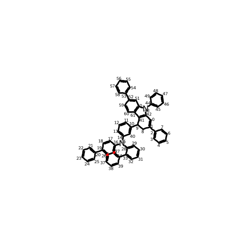 C1=C(c2ccccc2)CC(c2cccc(N(c3ccc(-c4ccccc4)cc3)c3ccccc3-c3ccccc3)c2)c2c1n(-c1ccccc1)c1cc(-c3ccccc3)ccc21